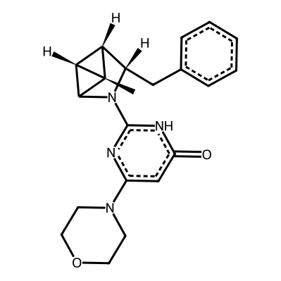 C[C@@]12C3[C@@H]1[C@@H]2[C@H](Cc1ccccc1)N3c1nc(N2CCOCC2)cc(=O)[nH]1